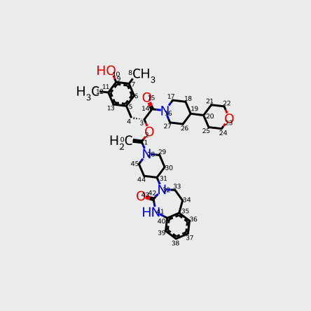 C=C(O[C@H](Cc1cc(C)c(O)c(C)c1)C(=O)N1CCC(C2CCOCC2)CC1)N1CCC(N2CCc3ccccc3NC2=O)CC1